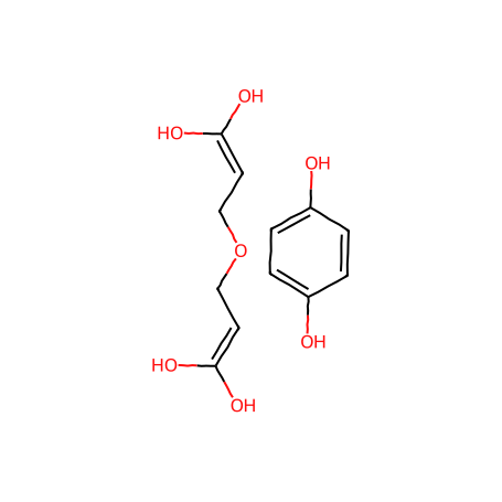 OC(O)=CCOCC=C(O)O.Oc1ccc(O)cc1